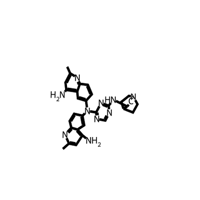 Cc1cc(N)c2cc(N(c3ccc4nc(C)cc(N)c4c3)c3ncnc(NC4CN5CCC4CC5)n3)ccc2n1